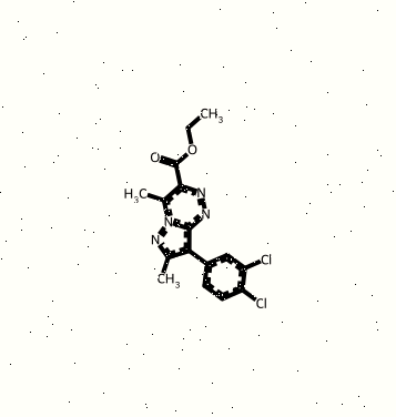 CCOC(=O)c1nnc2c(-c3ccc(Cl)c(Cl)c3)c(C)nn2c1C